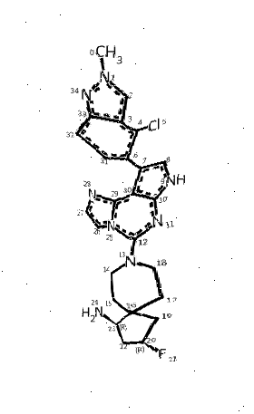 Cn1cc2c(Cl)c(-c3c[nH]c4nc(N5CCC6(CC5)C[C@@H](F)C[C@H]6N)n5ccnc5c34)ccc2n1